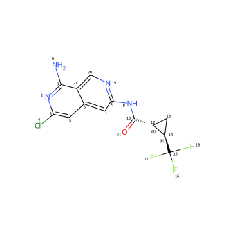 Nc1nc(Cl)cc2cc(NC(=O)[C@@H]3C[C@H]3C(F)(F)F)ncc12